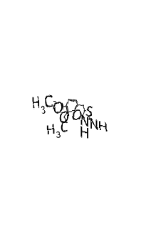 CCOc1ccc(CC2SC(=N)NC2=O)cc1OCC